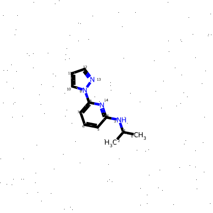 CC(C)Nc1cccc(-n2cccn2)n1